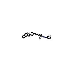 O=C(/C=C/C=C/c1cccnc1)NCCCCC1CCN(S(=O)(=O)c2ccc3ccccc3c2)CC1